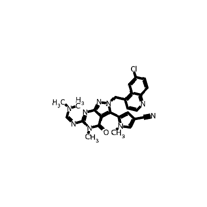 CN(C)/C=N\c1nc2nn(Cc3ccnc4ccc(Cl)cc34)c(-c3cc(C#N)cn3C)c2c(=O)n1C